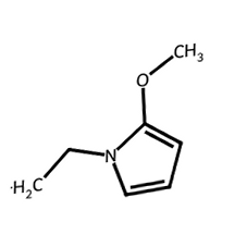 [CH2]Cn1cccc1OC